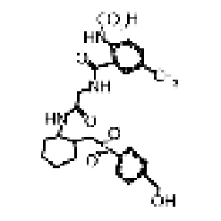 O=C(O)Nc1ccc(C(F)(F)F)cc1C(=O)NCC(=O)NC1CCCCC1CS(=O)(=O)c1ccc(CO)cc1